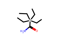 C[CH2][Ti]([CH2]C)([CH2]C)([CH2]C)[C](N)=O